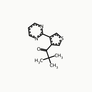 CC(C)(C)C(=O)c1cscc1-c1ncccn1